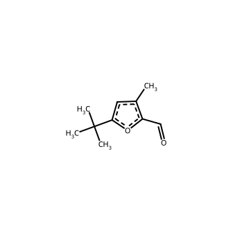 Cc1cc(C(C)(C)C)oc1C=O